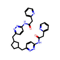 O=C(Cc1ccccn1)Nc1ccc(CC2CCC(Cc3ccc(NC(=O)Cc4ccccn4)nn3)C2)nn1